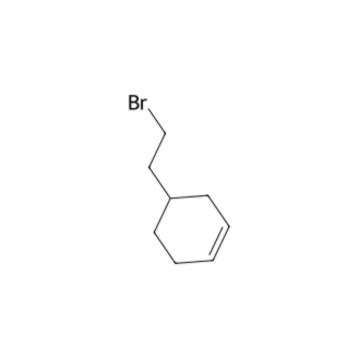 BrCCC1CC=CCC1